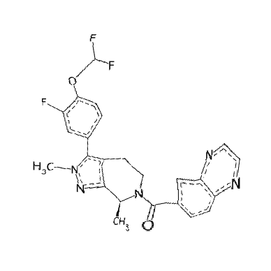 C[C@H]1c2nn(C)c(-c3ccc(OC(F)F)c(F)c3)c2CCN1C(=O)c1ccc2nccnc2c1